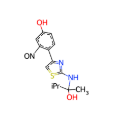 CC(C)C(C)(O)Nc1nc(-c2ccc(O)cc2N=O)cs1